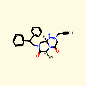 C#CCN1CC(=O)N2[C@H](CN(CC(c3ccccc3)c3ccccc3)C(=O)[C@@H]2CCC)N1